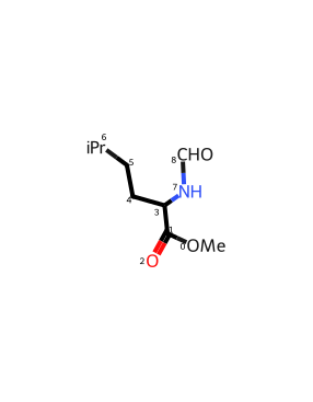 COC(=O)C(CCC(C)C)NC=O